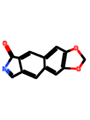 O=C1N=Cc2cc3cc4c(cc3cc21)OCO4